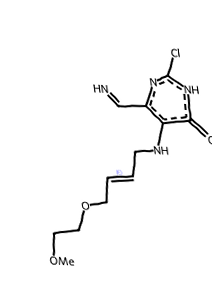 COCCOC/C=C/CNc1c(C=N)nc(Cl)[nH]c1=O